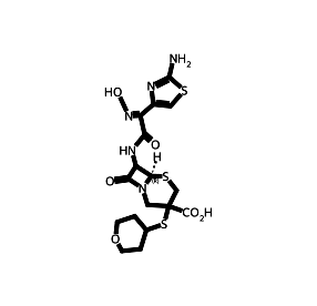 Nc1nc(C(=NO)C(=O)NC2C(=O)N3CC(SC4CCOCC4)(C(=O)O)CS[C@H]23)cs1